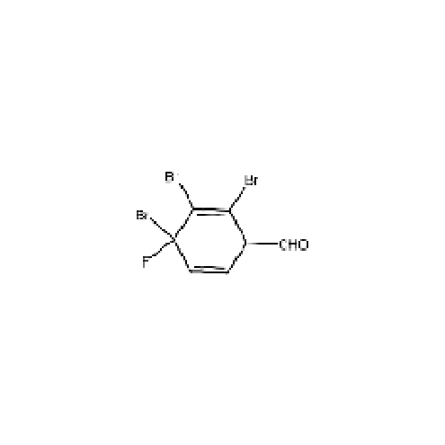 O=CC1C=CC(F)(Br)C(Br)=C1Br